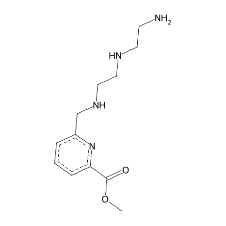 COC(=O)c1cccc(CNCCNCCN)n1